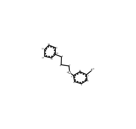 Fc1[c]ccc(OCCCc2ccccc2)c1